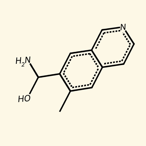 Cc1cc2ccncc2cc1C(N)O